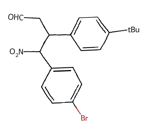 CC(C)(C)c1ccc(C(CC=O)C(c2ccc(Br)cc2)[N+](=O)[O-])cc1